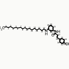 CCCCCCCCCCCCCCCCCCNc1cccc(NC(=O)C=Cc2ccc(O)cc2)c1